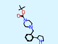 CC(C)(C)OC(=O)N1CCN(Cc2ccccc2C2CCCN2)CC1